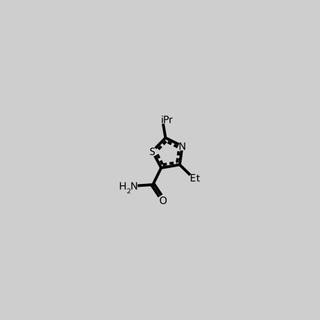 CCc1nc(C(C)C)sc1C(N)=O